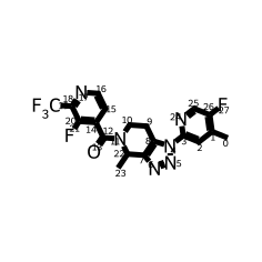 Cc1cc(-n2nnc3c2CCN(C(=O)c2ccnc(C(F)(F)F)c2F)C3C)ncc1F